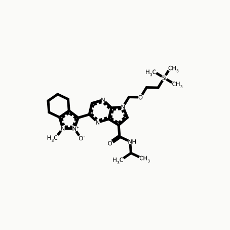 CC(C)NC(=O)c1cn(COCC[Si](C)(C)C)c2ncc(-c3c4c(n(C)[n+]3[O-])CCCC4)nc12